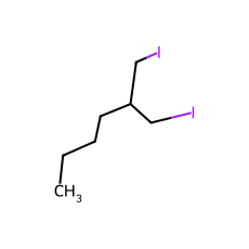 CCCCC(CI)CI